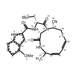 COc1cccc2[nH]c(C(=O)N[C@H](CC(C)(C)C)C(=O)N3CC(=O)NC(C)/C=C\C=C/CC[C@H]3C#N)cc12